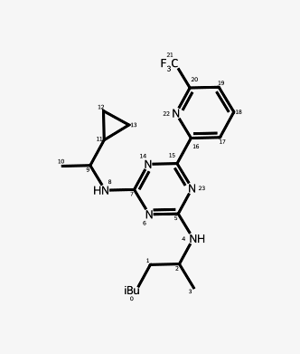 CCC(C)CC(C)Nc1nc(NC(C)C2CC2)nc(-c2cccc(C(F)(F)F)n2)n1